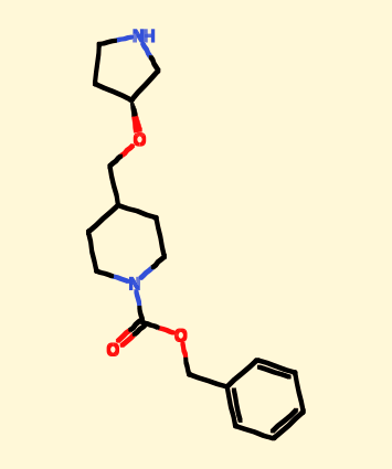 O=C(OCc1ccccc1)N1CCC(CO[C@H]2CCNC2)CC1